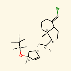 C[C@H](C[C@@H]1C=C[C@@](C)(O[Si](C)(C)C(C)(C)C)C1)[C@H]1CCC2C(=CBr)CCC[C@]21C